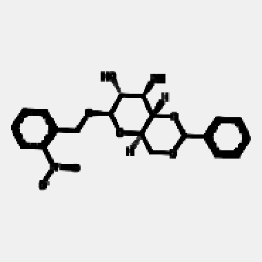 O=[N+]([O-])c1ccccc1CO[C@@H]1O[C@@H]2COC(c3ccccc3)O[C@H]2[C@H](O)[C@H]1O